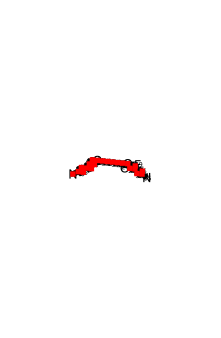 N#Cc1ccc(-c2ccc3cc(OCCCCCCCCCCC(=O)Oc4ccc(-c5ccc(C#N)cc5)c(F)c4)ccc3c2)cc1